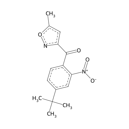 Cc1cc(C(=O)c2ccc(C(C)(C)C)cc2[N+](=O)[O-])no1